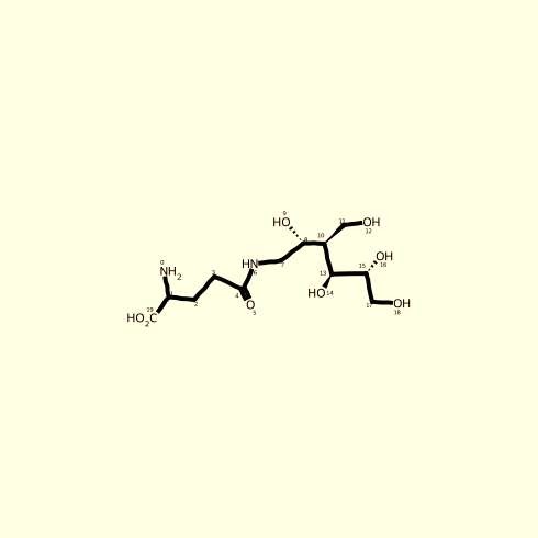 NC(CCC(=O)NC[C@H](O)[C@@H](CO)[C@H](O)[C@H](O)CO)C(=O)O